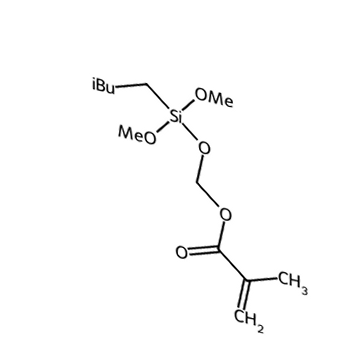 C=C(C)C(=O)OCO[Si](CC(C)CC)(OC)OC